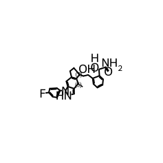 C[C@H]1C2=CNN(c3ccc(F)cc3)C2=CC2=C1[C@](O)(CCc1ccccc1C(O)C(N)=O)CC2